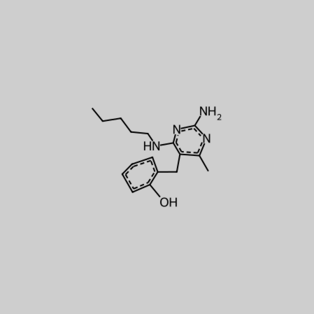 CCCCCNc1nc(N)nc(C)c1Cc1ccccc1O